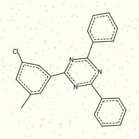 Cc1cc(Cl)cc(-c2nc(-c3ccccc3)nc(-c3ccccc3)n2)c1